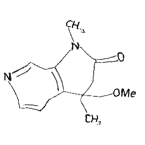 COC1(C)C(=O)N(C)c2cnccc21